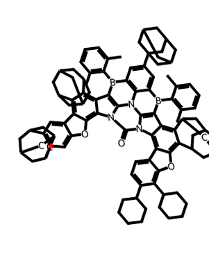 Cc1cccc(C)c1B1c2cc(C34CC5CC(CC(C5)C3)C4)cc3c2-n2c4c1c1c5c(c6c7cc8c(cc7oc6c1n4c(=O)n1c4c(c6c(c7oc9c(C%10CCCCC%10)c(C%10CCCCC%10)ccc9c74)C4CC7CC(C4)CC6C7)c(c21)B3c1c(C)cccc1C)C1CC2CC(C1)CC8C2)C1CC2CC(CC5C2)C1